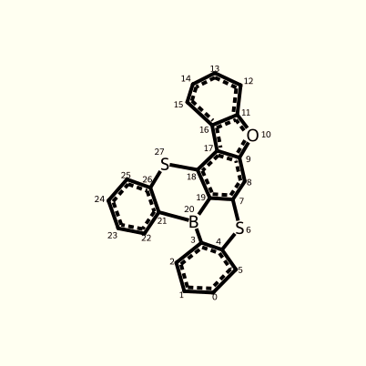 c1ccc2c(c1)Sc1cc3oc4ccccc4c3c3c1B2c1ccccc1S3